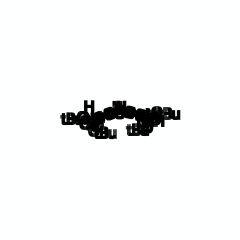 CC(C)(C)OC(=O)/N=C(/NC(=O)OC(C)(C)C)N1CCC(c2ccc(-c3nnc(-c4ccc(C5CCN(/C(=N/C(=O)OC(C)(C)C)NC(=O)OC(C)(C)C)CC5)cc4)o3)cc2)CC1